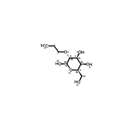 CCCO[C@@H]1[C@@H](O)[C@@H](O)[C@@H](CO)O[C@H]1O